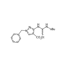 CCCCNC(=S)Nc1nn(Cc2ccccc2)cc1C(=O)OCC